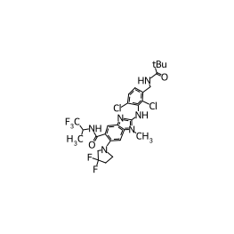 CC(NC(=O)c1cc2nc(Nc3c(Cl)ccc(CNC(=O)C(C)(C)C)c3Cl)n(C)c2cc1N1CCC(F)(F)C1)C(F)(F)F